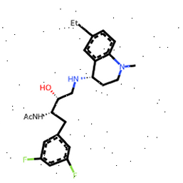 CCc1ccc2c(c1)[C@@H](NC[C@@H](O)[C@H](Cc1cc(F)cc(F)c1)NC(C)=O)CCN2C